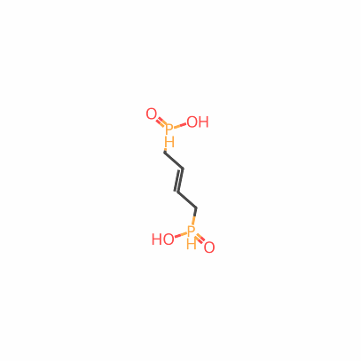 O=[PH](O)CC=CC[PH](=O)O